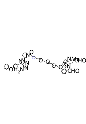 CNC(=O)C(CCC=O)N(C)C(=O)c1c(C=O)cccc1OCCOCCOCCOCC/C=C/C(=O)N1CCCC(n2nc(-c3ccc(Oc4ccccc4)cc3)c3c(N)ncnc32)C1